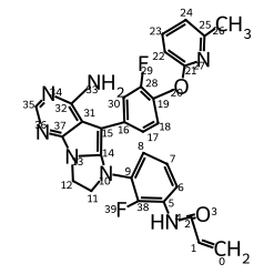 C=CC(=O)Nc1cccc(N2CCn3c2c(-c2ccc(Oc4cccc(C)n4)c(F)c2)c2c(N)ncnc23)c1F